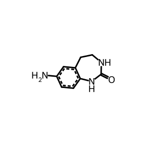 Nc1ccc2c(c1)CCNC(=O)N2